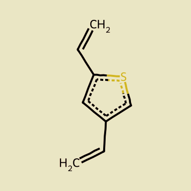 C=Cc1csc(C=C)c1